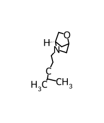 CC(C)CCCN1CC2C[C@@H]1CO2